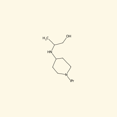 CC(CO)NC1CCN(C(C)C)CC1